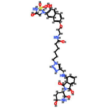 O=C(CCCCCn1cc(CNc2cccc3c2C(=O)N(C2CCC(=O)NC2=O)C3=O)nn1)NCCOc1ccc2cc(O)c(N3CC(=O)NS3(=O)=O)cc2c1